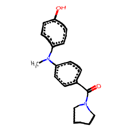 CN(c1ccc(O)cc1)c1ccc(C(=O)N2CCCC2)cc1